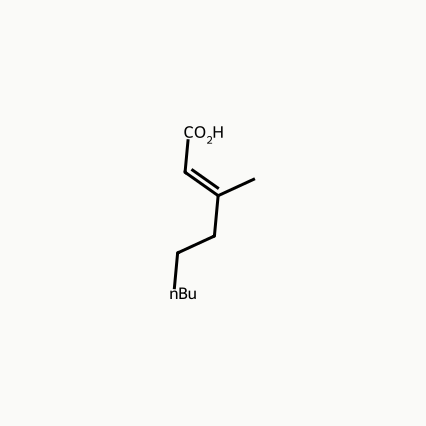 CCCCCCC(C)=CC(=O)O